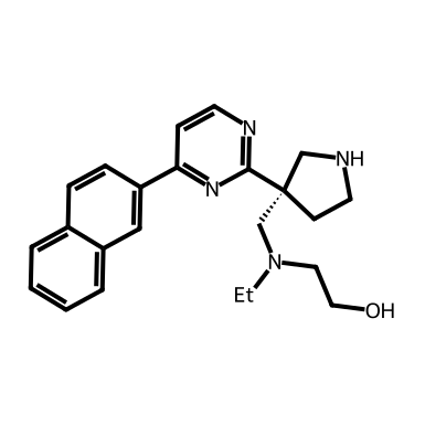 CCN(CCO)C[C@@]1(c2nccc(-c3ccc4ccccc4c3)n2)CCNC1